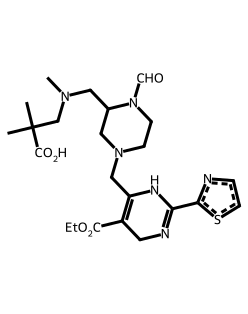 CCOC(=O)C1=C(CN2CCN(C=O)C(CN(C)CC(C)(C)C(=O)O)C2)NC(c2nccs2)=NC1